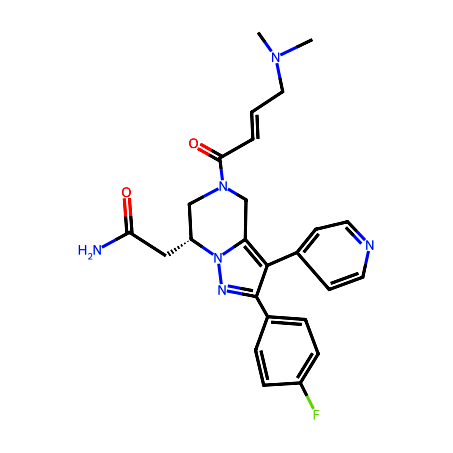 CN(C)C/C=C/C(=O)N1Cc2c(-c3ccncc3)c(-c3ccc(F)cc3)nn2[C@H](CC(N)=O)C1